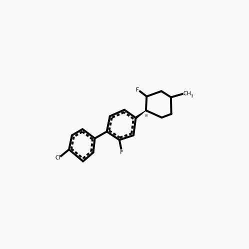 CC1CC[C@@H](c2ccc(-c3ccc(Cl)cc3)c(F)c2)C(F)C1